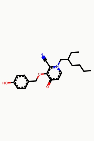 CCCCC(CC)Cn1ccc(=O)c(OCc2ccc(O)cc2)c1C#N